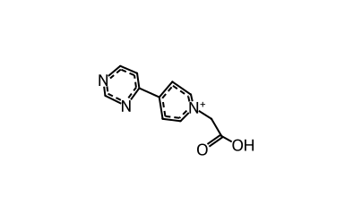 O=C(O)C[n+]1ccc(-c2ccncn2)cc1